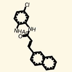 CC(=O)Nc1ccc(Cl)cc1NC(=O)C=Cc1ccc2ccccc2c1